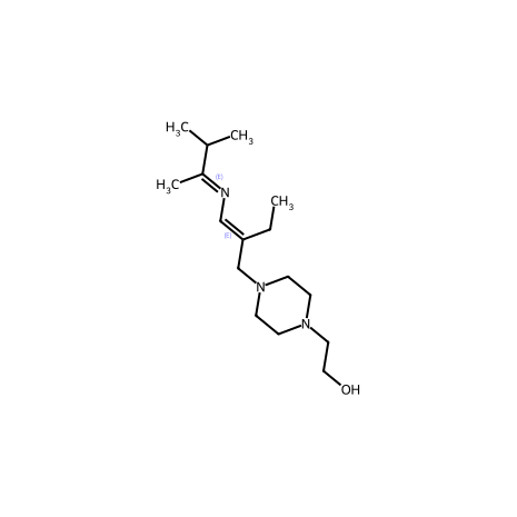 CC/C(=C\N=C(/C)C(C)C)CN1CCN(CCO)CC1